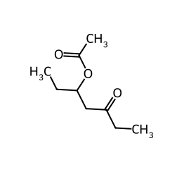 CCC(=O)CC(CC)OC(C)=O